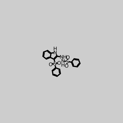 O=S(=O)(NNc1[nH]c2ccccc2c1S(=O)(=O)c1ccccc1)c1ccccc1